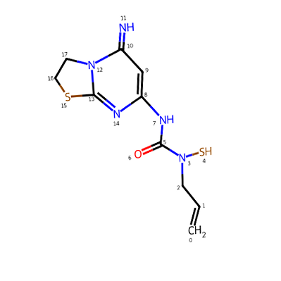 C=CCN(S)C(=O)Nc1cc(=N)n2c(n1)SCC2